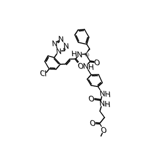 COC(=O)CCNC(=O)Nc1ccc(NC(=O)[C@H](Cc2ccccc2)NC(=O)C=Cc2cc(Cl)ccc2-n2cnnn2)cc1